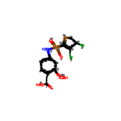 O=C(O)c1ccc(NS(=O)(=O)c2scc(Br)c2Br)cc1O